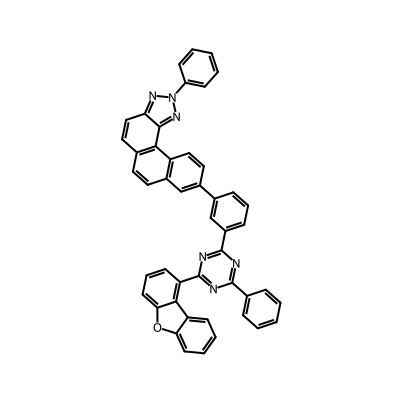 c1ccc(-c2nc(-c3cccc(-c4ccc5c(ccc6ccc7nn(-c8ccccc8)nc7c65)c4)c3)nc(-c3cccc4oc5ccccc5c34)n2)cc1